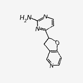 Nc1nccc(C2Cc3cnccc3O2)n1